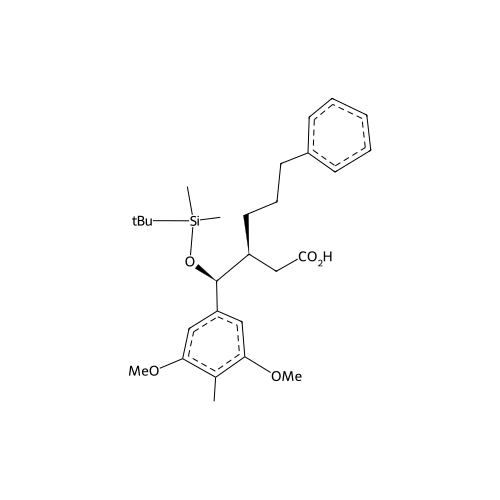 COc1cc([C@@H](O[Si](C)(C)C(C)(C)C)[C@@H](CCCc2ccccc2)CC(=O)O)cc(OC)c1C